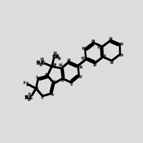 CC1(I)C=C2C(=CC1)c1ccc(-c3ccc4c(c3)CCC=C4)cc1C2(C)C